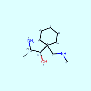 CNCC1([C@H](O)[C@H](C)N)CCCCC1